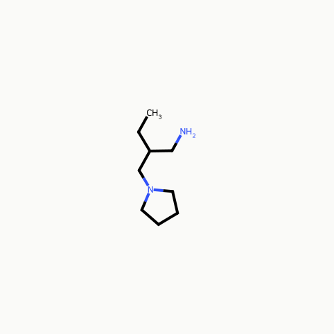 CCC(CN)CN1CCCC1